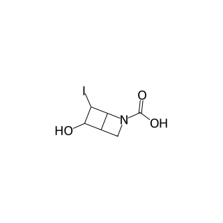 O=C(O)N1CC2C(O)C(I)C21